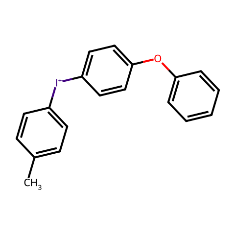 Cc1ccc([I+]c2ccc(Oc3ccccc3)cc2)cc1